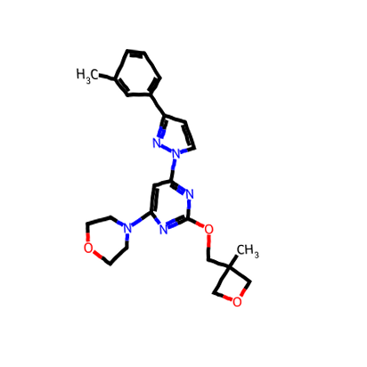 Cc1cccc(-c2ccn(-c3cc(N4CCOCC4)nc(OCC4(C)COC4)n3)n2)c1